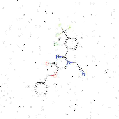 N#CCn1cc(OCc2ccccc2)c(=O)nc1-c1cccc(C(F)(F)F)c1Cl